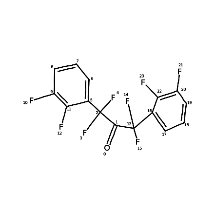 O=C(C(F)(F)c1cccc(F)c1F)C(F)(F)c1cccc(F)c1F